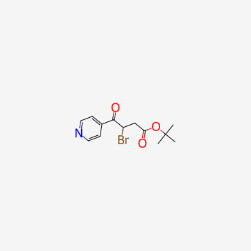 CC(C)(C)OC(=O)CC(Br)C(=O)c1ccncc1